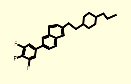 CCCC1CCC(CCc2ccc3cc(-c4cc(F)c(F)c(F)c4)ccc3c2)CC1